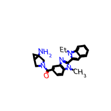 CCn1c(-c2nc3cc(C(=O)N4CC5CC5(N)C4)ccc3n2C)cc2ccccc21